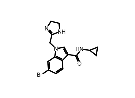 O=C(NC1CC1)c1cn(CC2=NCCN2)c2cc(Br)ccc12